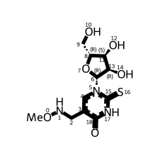 CONCc1cn([C@@H]2O[C@H](CO)[C@@H](O)[C@H]2O)c(=S)[nH]c1=O